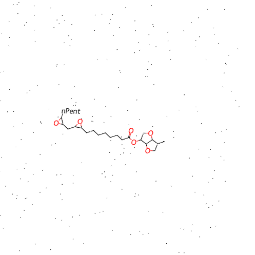 CCCCCC1OC1CC1OC1CCCCCCCC(=O)OC1COC2C(C)COC12